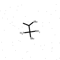 CC(C(C)(C)C)C(N)(P)C(C)(C)C